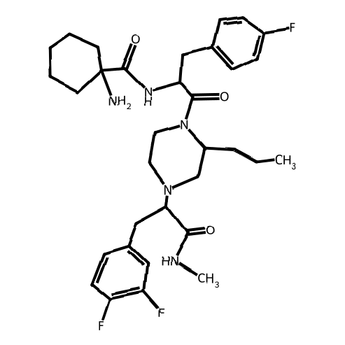 CCCC1CN(C(Cc2ccc(F)c(F)c2)C(=O)NC)CCN1C(=O)C(Cc1ccc(F)cc1)NC(=O)C1(N)CCCCC1